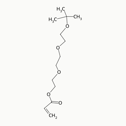 C=CC(=O)OCCOCCOCCOC(C)(C)C